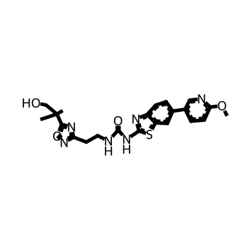 COc1ccc(-c2ccc3nc(NC(=O)NCCc4noc(C(C)(C)CO)n4)sc3c2)cn1